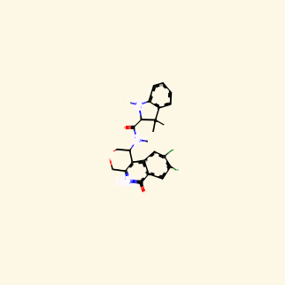 CN(C(=O)C1N(C(=O)O)c2ccccc2C1(C)C)C1COCc2[nH]c(=O)c3cc(F)c(F)cc3c21